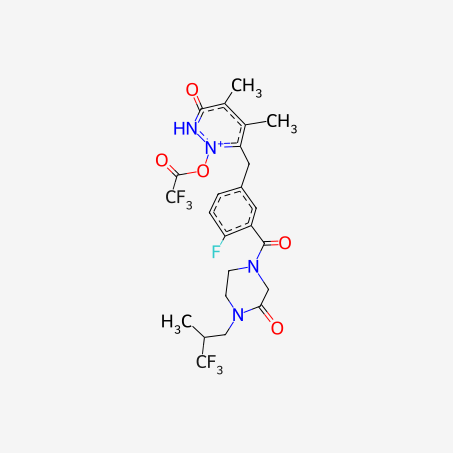 Cc1c(C)c(=O)[nH][n+](OC(=O)C(F)(F)F)c1Cc1ccc(F)c(C(=O)N2CCN(CC(C)C(F)(F)F)C(=O)C2)c1